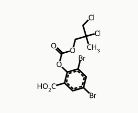 CC(Cl)(CCl)COC(=O)Oc1c(Br)cc(Br)cc1C(=O)O